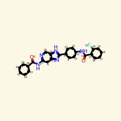 O=C(Nc1cc2nc(-c3ccc(NC(=O)c4ccccc4F)cc3)[nH]c2cn1)c1ccccc1